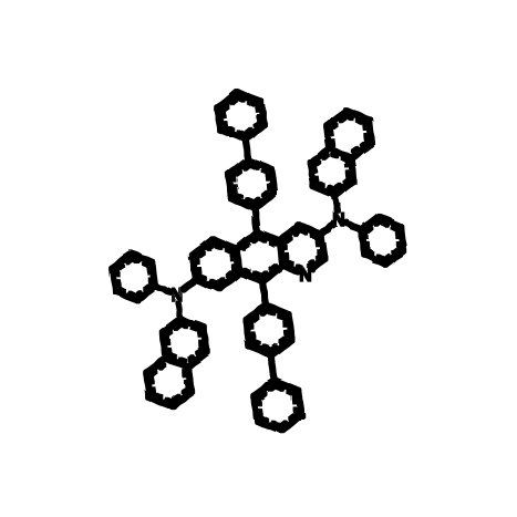 c1ccc(-c2ccc(-c3c4ccc(N(c5ccccc5)c5ccc6ccccc6c5)cc4c(-c4ccc(-c5ccccc5)cc4)c4ncc(N(c5ccccc5)c5ccc6ccccc6c5)cc34)cc2)cc1